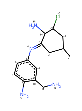 CC1CC(=Nc2ccc(N)c(CN)c2)C(N)C(Cl)C1